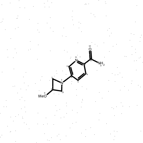 COC1CN(c2ccc(C(N)=O)nc2)C1